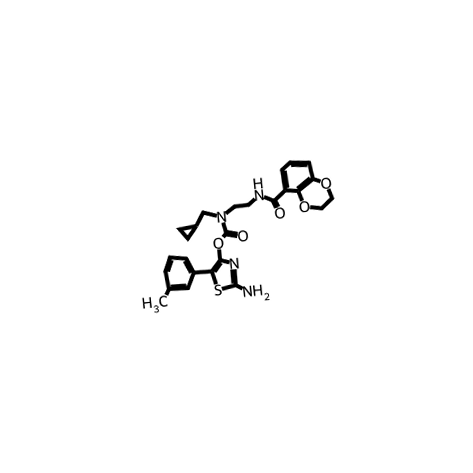 Cc1cccc(-c2sc(N)nc2OC(=O)N(CCNC(=O)c2cccc3c2OCCO3)CC2CC2)c1